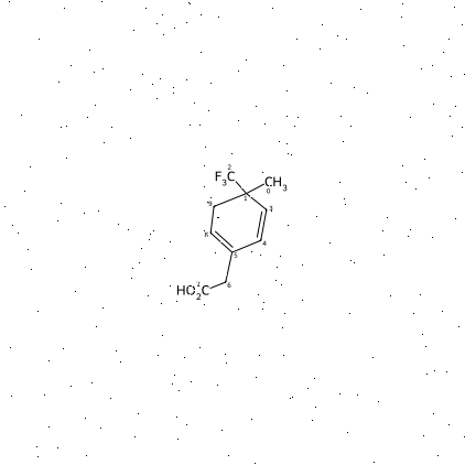 CC1(C(F)(F)F)C=CC(CC(=O)O)=CC1